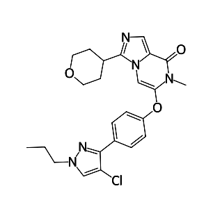 CCCn1cc(Cl)c(-c2ccc(Oc3cn4c(C5CCOCC5)ncc4c(=O)n3C)cc2)n1